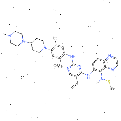 C=Cc1cnc(Nc2cc(CC)c(N3CCC(N4CCN(C)CC4)CC3)cc2OC)nc1Nc1ccc2nccnc2c1N(C)SC(C)C